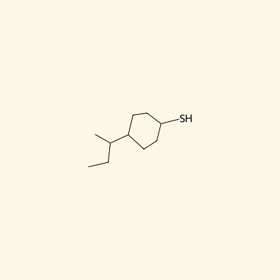 CCC(C)C1CCC(S)CC1